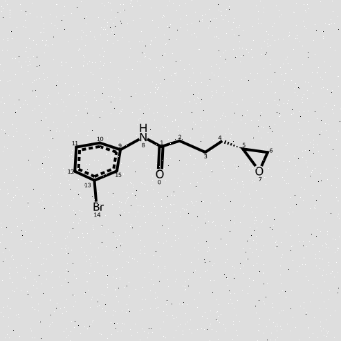 O=C(CCC[C@@H]1CO1)Nc1cccc(Br)c1